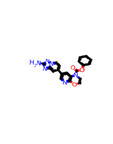 Nc1nc2cc(-c3cnc4c(c3)N(C(=O)OC3CCCCC3)CCO4)ccn2n1